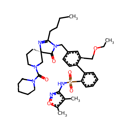 CCCCC1=N[C@@]2(CCCN(C(=O)N3CCCCC3)C2)C(=O)N1Cc1ccc(-c2ccccc2S(=O)(=O)Nc2noc(C)c2C)c(COCC)c1